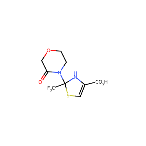 O=C(O)C1=CSC(N2CCOCC2=O)(C(F)(F)F)N1